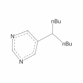 CCCCC(CCCC)c1cncnc1